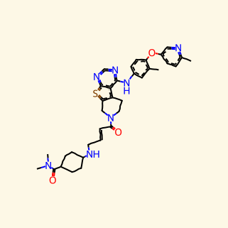 Cc1ccc(Oc2ccc(Nc3ncnc4sc5c(c34)CCN(C(=O)/C=C/CNC3CCC(C(=O)N(C)C)CC3)C5)cc2C)cn1